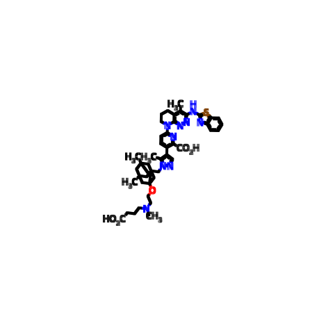 Cc1c(Nc2nc3ccccc3s2)nnc2c1CCCN2c1ccc(-c2cnn(CC34CC5(C)CC(C)(C3)CC(OCCN(C)CCCC(=O)O)(C5)C4)c2C)c(C(=O)O)n1